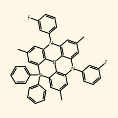 Cc1cc2c3c(c1)N(c1cccc(F)c1)c1cc(C)cc4c1B3c1c(cc(C)cc1[Si]4(c1ccccc1)c1ccccc1)N2c1cccc(F)c1